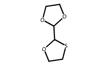 C1CS[C](C2OCCO2)O1